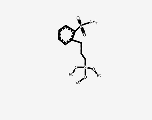 CCO[Si](CCCc1ccccc1S(N)(=O)=O)(OCC)OCC